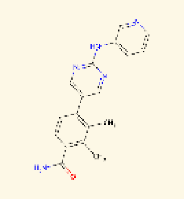 Cc1c(C(N)=O)ccc(-c2cnc(Nc3cccnc3)nc2)c1C